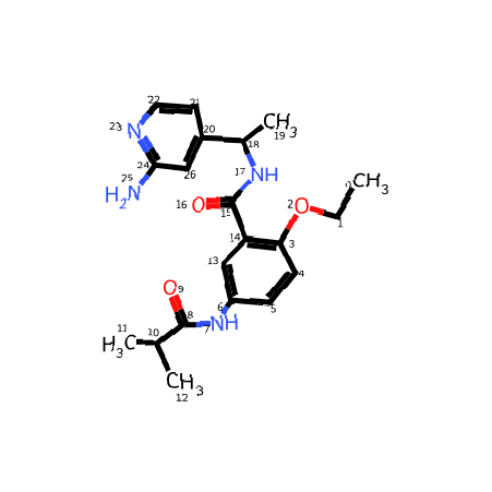 CCOc1ccc(NC(=O)C(C)C)cc1C(=O)NC(C)c1ccnc(N)c1